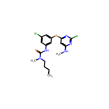 CCCCN(C)C(=S)Nc1cc(Br)cc(Sc2cc(NC)nc(Br)n2)c1